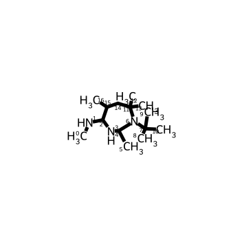 CNC1NC(C)N(C(C)(C)C)C(C)(C)CC1C